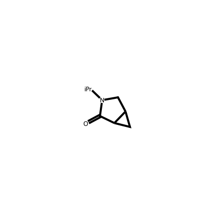 CC(C)N1CC2CC2C1=O